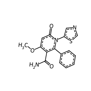 COc1cc(=O)n(-c2cncs2)c(-c2ccccc2)c1C(N)=O